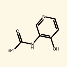 CCCC(=O)Nc1cnccc1O